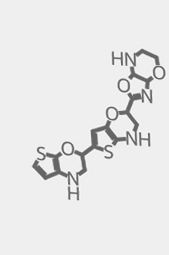 c1cc2c(s1)OC(c1cc3c(s1)NCC(C1=NC4OCCNC4O1)O3)CN2